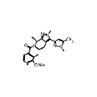 COc1nccc(C(=O)N2CCc3c(nn(C)c3-c3cc(C(F)(F)F)n(C)n3)C2C)c1C